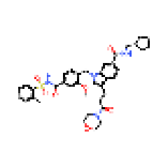 COc1cc(C(=O)NS(=O)(=O)c2ccccc2C)ccc1Cn1cc(CCC(=O)N2CCOCC2)c2ccc(C(=O)NCC3CCCC3)cc21